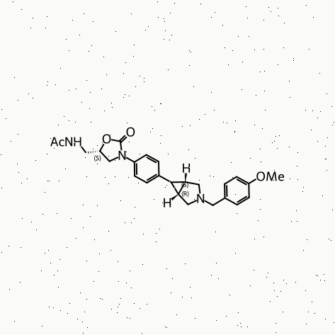 COc1ccc(CN2C[C@@H]3C(c4ccc(N5C[C@H](CNC(C)=O)OC5=O)cc4)[C@@H]3C2)cc1